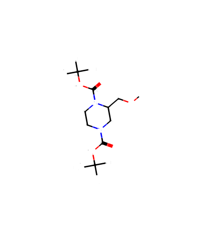 COCC1CN(C(=O)OC(C)(C)C)CCN1C(=O)OC(C)(C)C